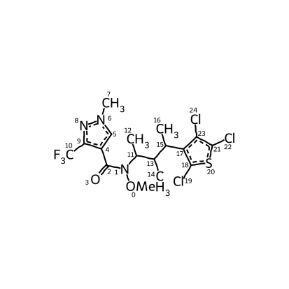 CON(C(=O)c1cn(C)nc1C(F)(F)F)C(C)C(C)C(C)c1c(Cl)sc(Cl)c1Cl